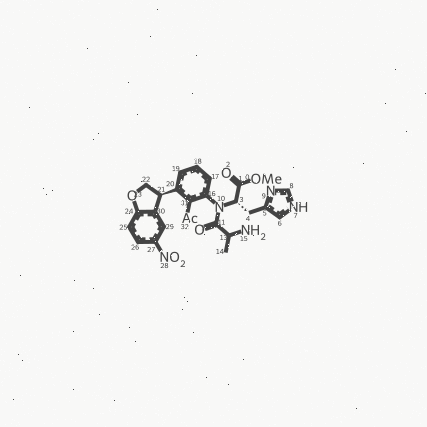 COC(=O)[C@H](Cc1c[nH]cn1)N(C(=O)C(C)N)c1cccc([C@@H]2COc3ccc([N+](=O)[O-])cc32)c1C(C)=O